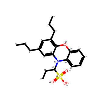 CCCc1cc(CCC)c2c(c1)N(C(CC)S(=O)(=O)O)c1ccccc1O2